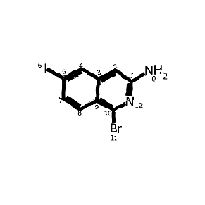 Nc1cc2cc(I)ccc2c(Br)n1